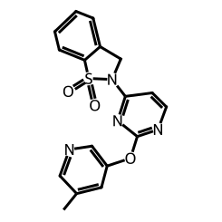 Cc1cncc(Oc2nccc(N3Cc4ccccc4S3(=O)=O)n2)c1